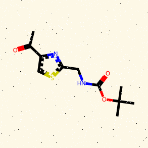 CC(=O)c1csc(CNC(=O)OC(C)(C)C)n1